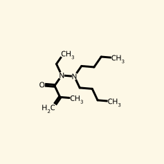 C=C(C)C(=O)N(CC)N(CCCC)CCCC